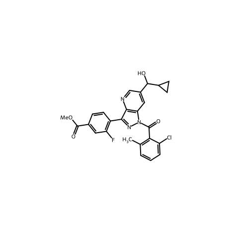 COC(=O)c1ccc(-c2nn(C(=O)c3c(C)cccc3Cl)c3cc(C(O)C4CC4)cnc23)c(F)c1